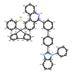 c1ccc(-n2c(-c3ccc(-c4cccc(-c5nc6ccccc6c6c7c(ccc56)C5(c6ccccc6S7)c6ccccc6-c6ccccc65)c4)cc3)nc3ccccc32)cc1